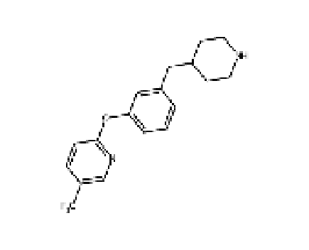 FC(F)(F)c1ccc(Oc2cccc(CC3CCNCC3)c2)nc1